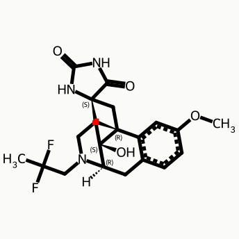 COc1ccc2c(c1)[C@]13CCN(CC(C)(F)F)[C@H](C2)[C@]1(O)CC[C@@]1(C3)NC(=O)NC1=O